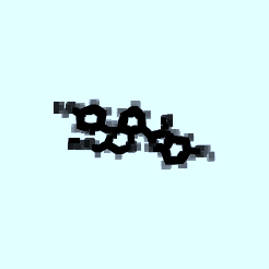 COCC1COc2c(-c3nc4ccc(C(F)(F)F)cc4n3Cl)cccc2N1c1ccc(C)cn1